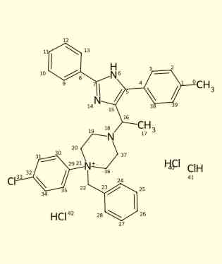 Cc1ccc(-c2[nH]c(-c3ccccc3)nc2C(C)N2CC[N+](Cc3ccccc3)(c3ccc(Cl)cc3)CC2)cc1.Cl.Cl.Cl